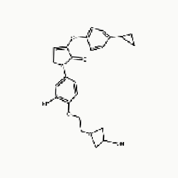 CCc1cc(N2CC=C(Oc3ccc(C4CC4)cc3)C2=O)ccc1OCCN1CC(O)C1